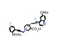 COc1ccc2nccc([C@H](F)CC[C@@H]3CCN(CC#Cc4cc(F)ccc4NC(C)=O)C[C@@H]3C(=O)O)c2c1